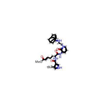 COC(=O)/C=C/CC[C@H](NC(=O)c1c[nH]cc1C(C)(C)C)C(=O)Nc1cccn(CCNC23CC4CC(CC(C4)C2)C3)c1=O